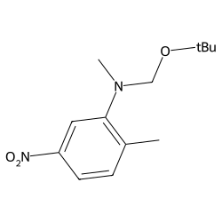 Cc1ccc([N+](=O)[O-])cc1N(C)COC(C)(C)C